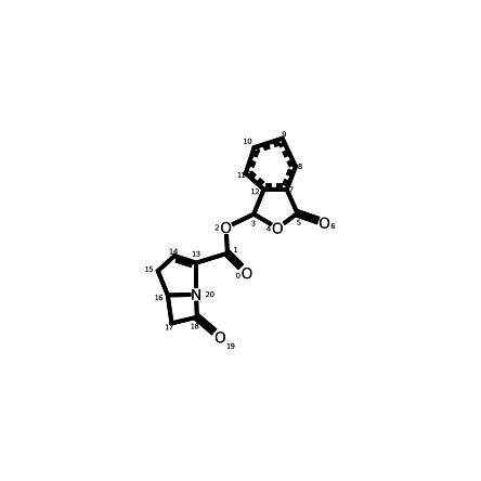 O=C(OC1OC(=O)c2ccccc21)C1=CCC2CC(=O)N12